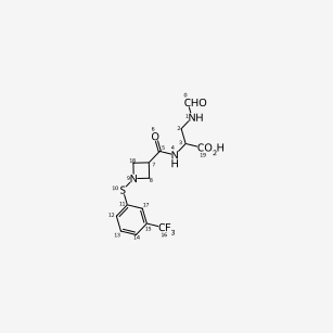 O=CNCC(NC(=O)C1CN(Sc2cccc(C(F)(F)F)c2)C1)C(=O)O